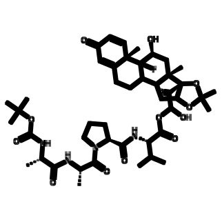 CC(C)[C@H](NC(=O)[C@@H]1CCCN1C(=O)[C@H](C)NC(=O)[C@H](C)NC(=O)OC(C)(C)C)C(=O)OC(O)C(=O)[C@@]12OC(C)(C)OC1CC1C3CCC4=CC(=O)C=C[C@]4(C)C3(F)[C@@H](O)C[C@@]12C